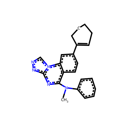 CN(c1ccccc1)c1nc2nncn2c2cc(C3=CCCCC3)ccc12